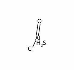 S.[O]=[Al][Cl]